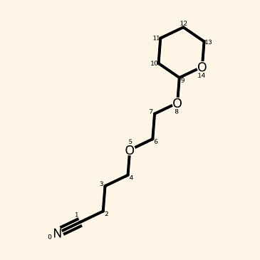 N#CCCCOCCOC1CCCCO1